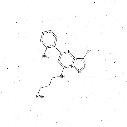 CNCCCNc1cc(-c2ccccc2N)nc2c(Br)cnn12